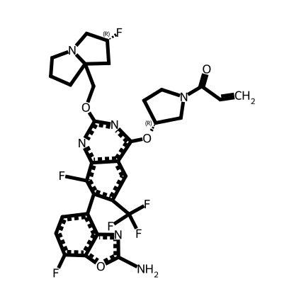 C=CC(=O)N1CC[C@@H](Oc2nc(OCC34CCCN3C[C@H](F)C4)nc3c(F)c(-c4ccc(F)c5oc(N)nc45)c(C(F)(F)F)cc23)C1